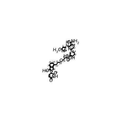 Cc1cc(Nc2nc(N3CCC[C@@](O)(NC(=O)CCOCCCc4cccc5c4CN(C4CCC(=O)NC4=O)C5O)C3)cnc2C(N)=O)sn1